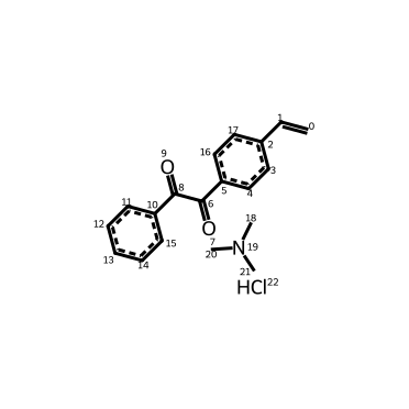 C=Cc1ccc(C(=O)C(=O)c2ccccc2)cc1.CN(C)C.Cl